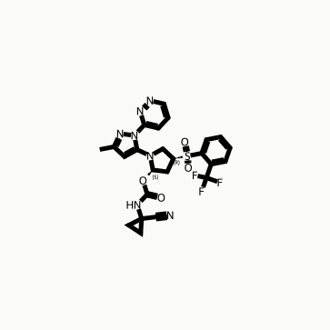 Cc1cc(N2C[C@H](S(=O)(=O)c3ccccc3C(F)(F)F)C[C@@H]2OC(=O)NC2(C#N)CC2)n(-c2cccnn2)n1